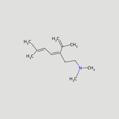 C=C(C)/C(=C\C=C(C)C)CCN(C)C